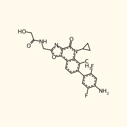 Cc1c(-c2cc(F)c(N)cc2F)ccc2c3oc(CNC(=O)CO)nc3c(=O)n(C3CC3)c12